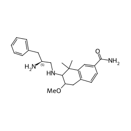 COC1Cc2ccc(C(N)=O)cc2C(C)(C)C1NC[C@@H](N)Cc1ccccc1